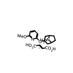 COc1cccc(OC2CC3CCC(C2)N3C)n1.O=C(O)/C=C/C(=O)O